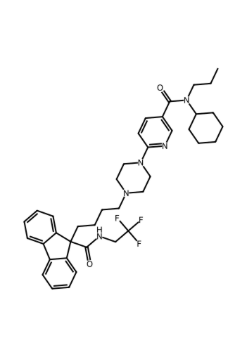 CCCN(C(=O)c1ccc(N2CCN(CCCCC3(C(=O)NCC(F)(F)F)c4ccccc4-c4ccccc43)CC2)nc1)C1CCCCC1